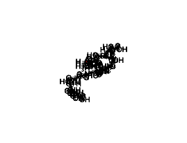 CC(C)(C)[SiH](c1ccc(C(=O)NC[C@H](C(=O)N[C@H](CCCCNC(=O)CCC(=O)NCCC[C@@H](NC(=O)CC[C@H](NC(=O)N[C@@H](CCC(=O)O)C(=O)O)C(=O)O)C(=O)O)C(=O)O)n2cc(CNC(=O)CCP(=O)(O)CN3CCN(CPCCC(=O)O)CCN(CP(=O)(O)CCC(=O)O)CC3)nn2)cc1)C(C)(C)C